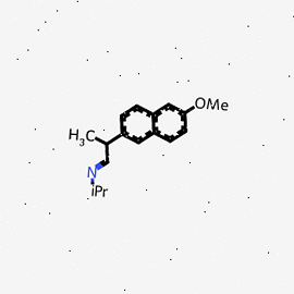 COc1ccc2cc(C(C)C=NC(C)C)ccc2c1